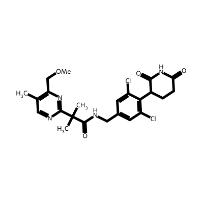 COCc1nc(C(C)(C)C(=O)NCc2cc(Cl)c(C3CCC(=O)NC3=O)c(Cl)c2)ncc1C